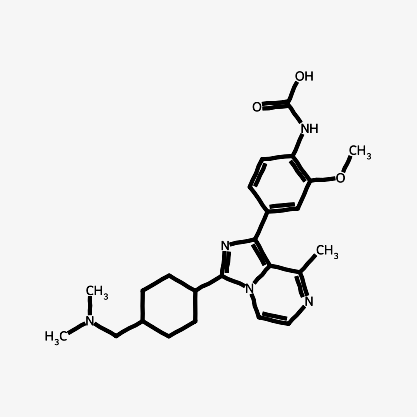 COc1cc(-c2nc(C3CCC(CN(C)C)CC3)n3ccnc(C)c23)ccc1NC(=O)O